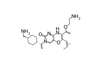 C=C(OCCN)C1=C(/C=C\C)Oc2cn(C(=C)[C@H]3CC[C@H](CN)CC3)c(=O)nc2N1